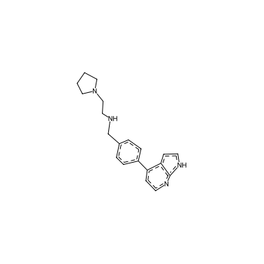 c1cc(-c2ccc(CNCCN3CCCC3)cc2)c2cc[nH]c2n1